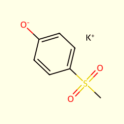 CS(=O)(=O)c1ccc([O-])cc1.[K+]